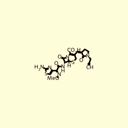 C#CCN1CCC(=CC2=C(C(=O)O)N3C(=O)[C@@H](NC(=O)C(=NOC)c4csc(N)n4)[C@H]3SC2)C1=O